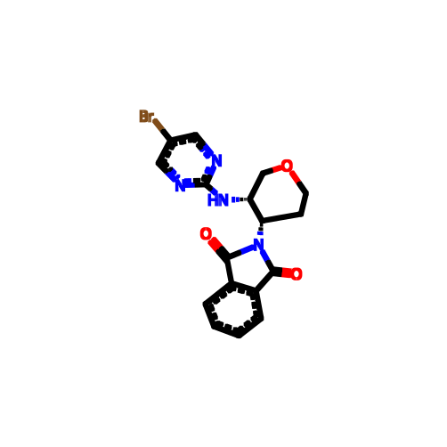 O=C1c2ccccc2C(=O)N1[C@H]1CCOC[C@H]1Nc1ncc(Br)cn1